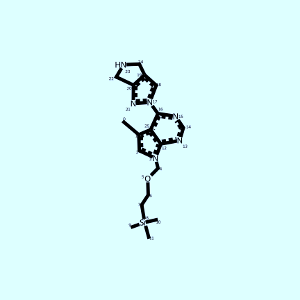 Cc1cn(COCC[Si](C)(C)C)c2ncnc(-n3cc4c(n3)CNC4)c12